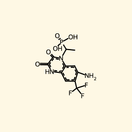 CC(n1c(=O)c(=O)[nH]c2cc(C(F)(F)F)c(N)cc21)P(=O)(O)O